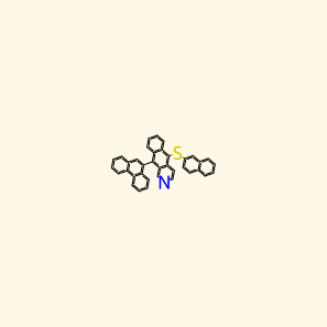 c1ccc2cc(Sc3c4ccccc4c(-c4cc5ccccc5c5ccccc45)c4cnccc34)ccc2c1